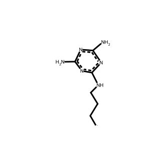 [CH2]CCCNc1nc(N)nc(N)n1